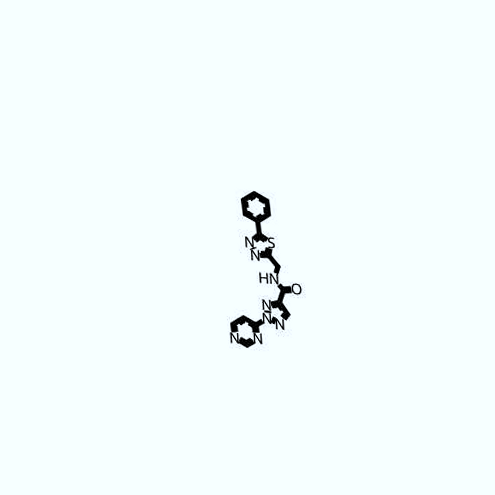 O=C(NCc1nnc(-c2ccccc2)s1)c1cnn(-c2ccncn2)n1